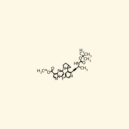 CCOC(=O)c1cnn2ccc(N3CCC4CC43c3cc(F)cnc3C#CC(C)NC(=O)OC(C)(C)C)nc12